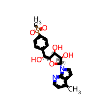 Cc1ccnc2c1ccn2[C@@H]1O[C@H]([C@H](O)c2ccc(S(C)(=O)=O)cc2)[C@@H](O)[C@H]1O